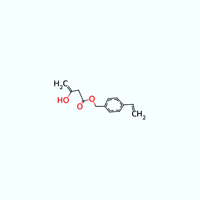 C=Cc1ccc(COC(=O)CC(=C)O)cc1